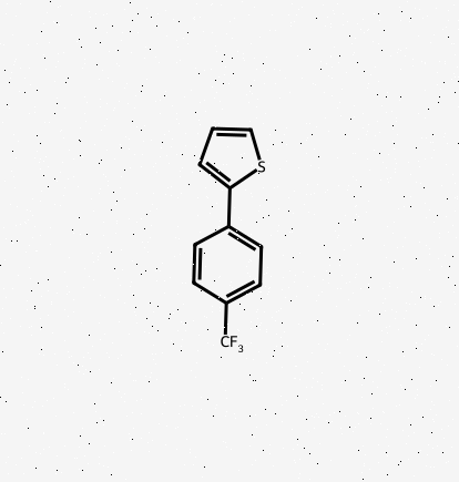 FC(F)(F)c1ccc(-c2cccs2)cc1